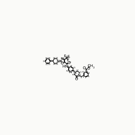 COC(=O)c1cccc(CN2CCN(c3ccc(NC(=O)c4oc(N5CCC(c6ccccc6)CC5)nc4C(F)(F)F)cn3)CC2=O)c1